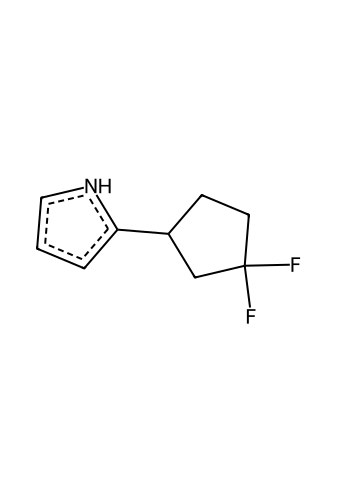 FC1(F)CCC(c2ccc[nH]2)C1